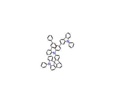 c1ccc(-c2cccc(-c3ccccc3N(c3ccc(-c4ccc5c6ccccc6n(-c6ccccc6)c5c4)cc3)c3ccc4c(c3)C3(c5ccccc5-4)c4ccccc4N(c4ccccc4)c4ccccc43)c2)cc1